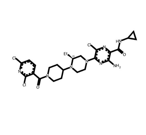 CC[C@H]1CN(c2nc(N)c(C(=O)NC3CC3)nc2Cl)CCN1C1CCN(C(=O)c2ccc(Cl)nc2Cl)CC1